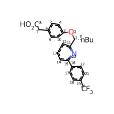 CCCC[C@@H](Oc1ccc(CC(=O)O)cc1)c1cccc(-c2ccc(C(F)(F)F)cc2)n1